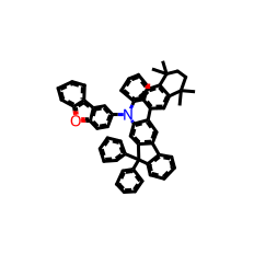 CC1(C)CCC(C)(C)c2cc(-c3cc4c(cc3N(c3ccccc3)c3ccc5oc6ccccc6c5c3)C(c3ccccc3)(c3ccccc3)c3ccccc3-4)ccc21